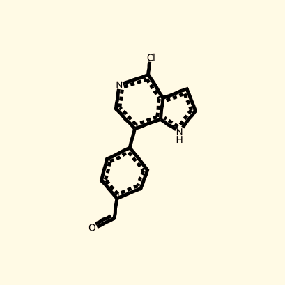 O=Cc1ccc(-c2cnc(Cl)c3cc[nH]c23)cc1